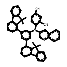 CC1(C)c2ccccc2-c2cccc(-c3cc(-c4cccc5c4C(C)(C)c4ccccc4-5)cc(N(c4cnc5ccccc5c4)c4ccc(C#N)cc4C#N)c3)c21